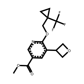 COC(=O)c1cnc(OCC2(C(F)(F)F)CC2)c(C2COC2)c1